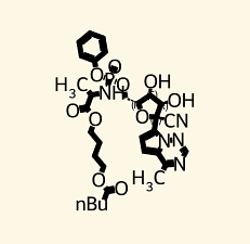 CCCCC(=O)OCCCCOC(=O)C(C)NP(=O)(OC[C@H]1O[C@@](C#N)(c2ccc3c(C)ncnn23)[C@H](O)[C@@H]1O)Oc1ccccc1